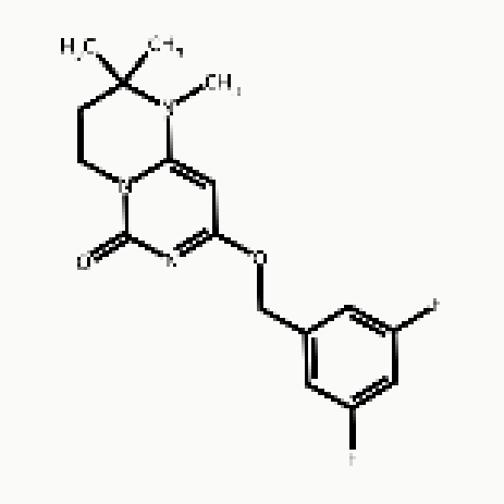 CN1c2cc(OCc3cc(F)cc(F)c3)nc(=O)n2CCC1(C)C